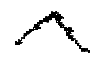 [Ba+2].[BaH2].[Be+2].[Be+2].[BeH2].[Br-].[Br-].[Br-].[Br-].[Br-].[Br-].[Ca+2].[Ca+2].[Ca+2].[Cl-].[Cl-].[Cl-].[Cl-].[Cl-].[Cl-].[I-].[I-].[I-].[I-].[I-].[I-].[Mg+2].[Mg+2].[Mg+2]